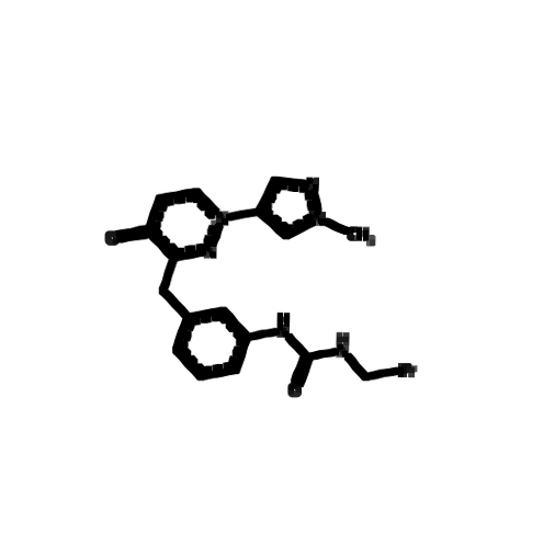 CC(C)CNC(=O)Nc1cccc(Cc2nn(-c3cnn(C)c3)ccc2=O)c1